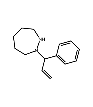 C=CC(c1ccccc1)N1CCCCCN1